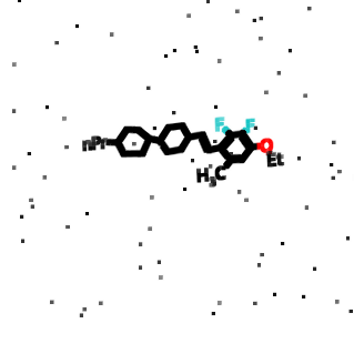 CCCC1CCC(C2CCC(/C=C/c3c(C)cc(OCC)c(F)c3F)CC2)CC1